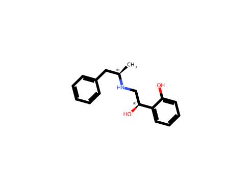 C[C@H](Cc1ccccc1)NC[C@H](O)c1ccccc1O